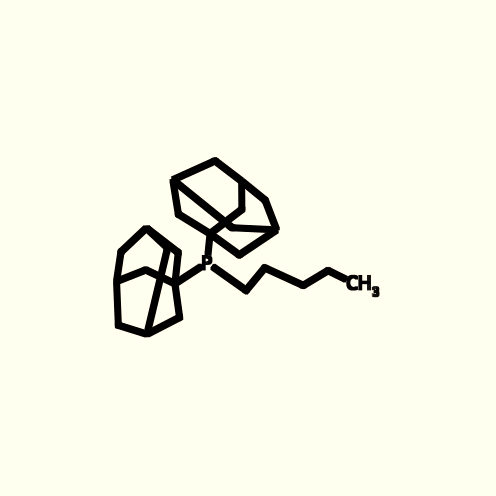 CCCCCP(C12CC3CC(CC(C3)C1)C2)C12CC3CC(CC(C3)C1)C2